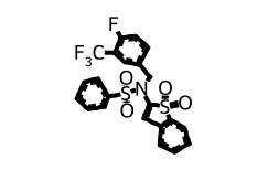 O=S1(=O)C(N(Cc2ccc(F)c(C(F)(F)F)c2)S(=O)(=O)c2ccccc2)=Cc2ccccc21